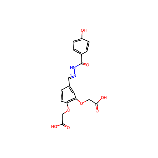 O=C(O)COc1ccc(/C=N/NC(=O)c2ccc(O)cc2)cc1OCC(=O)O